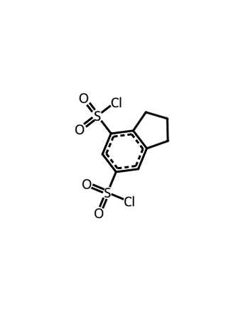 O=S(=O)(Cl)c1cc2c(c(S(=O)(=O)Cl)c1)CCC2